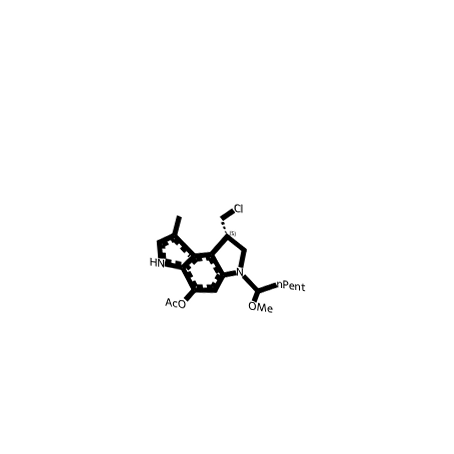 CCCCCC(OC)N1C[C@@H](CCl)c2c1cc(OC(C)=O)c1[nH]cc(C)c21